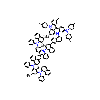 Cc1ccc(N(c2ccc(C)cc2)c2ccc3c(c2)N(c2cccc4cc(-c5cc6c(c7ccccc57)N(c5ccccc5)c5c(C(C)(C)Cc7cc8c(c9ccccc79)N(c7ccccc7)c7cc(C(C)(C)C)cc9c7B8c7ccc8ccccc8c7N9c7ccccc7)ccc7c5B6c5ccc6ccccc6c5N7c5ccccc5)ccc24)c2cc(C(C)(C)C)cc4c2B3c2cc(C)ccc2N4c2ccc(C)cc2)cc1